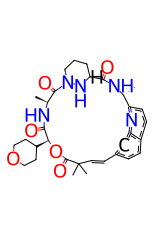 C[C@@H]1NC(=O)[C@H](C2CCOCC2)OC(=O)C(C)(C)/C=C/c2ccc3ccc(nc3c2)[C@@H](C)NC(=O)[C@@H]2CCCN(N2)C1=O